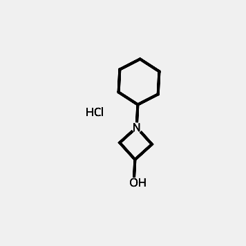 Cl.OC1CN(C2CCCCC2)C1